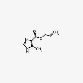 C=CCOC(=O)c1nc[nH]c1C